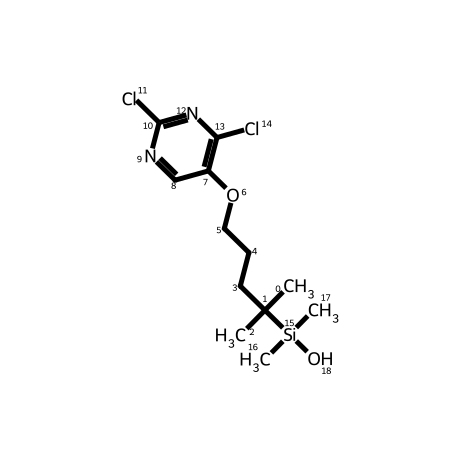 CC(C)(CCCOc1cnc(Cl)nc1Cl)[Si](C)(C)O